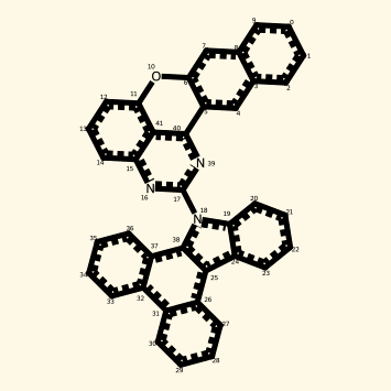 c1ccc2cc3c(cc2c1)Oc1cccc2nc(-n4c5ccccc5c5c6ccccc6c6ccccc6c54)nc-3c12